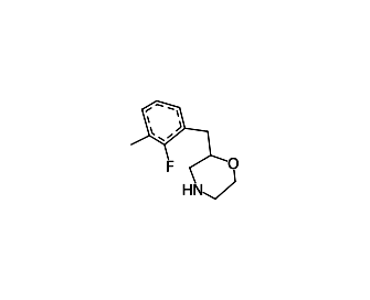 Cc1cccc(CC2CNCCO2)c1F